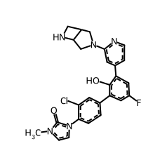 Cn1ccn(-c2ccc(-c3cc(F)cc(-c4ccnc(N5CC6CNC6C5)c4)c3O)cc2Cl)c1=O